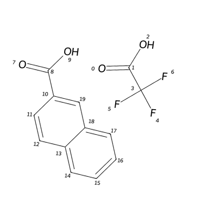 O=C(O)C(F)(F)F.O=C(O)c1ccc2ccccc2c1